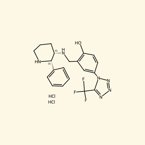 Cl.Cl.Oc1ccc(-n2nnnc2C(F)(F)F)cc1CN[C@H]1CCCN[C@H]1c1ccccc1